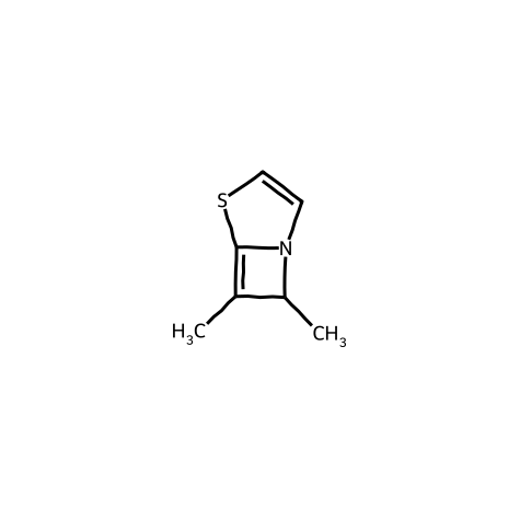 CC1=C2SC=CN2C1C